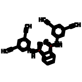 C#Cc1cc(C#C)cc(NC(=O)C2C3C=CC(C2C(=O)O)C(C(=O)Nc2cc(C#C)cc(C#C)c2)C3C(=O)O)c1